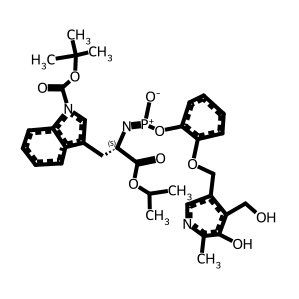 Cc1ncc(COc2ccccc2O[P+]([O-])=N[C@@H](Cc2cn(C(=O)OC(C)(C)C)c3ccccc23)C(=O)OC(C)C)c(CO)c1O